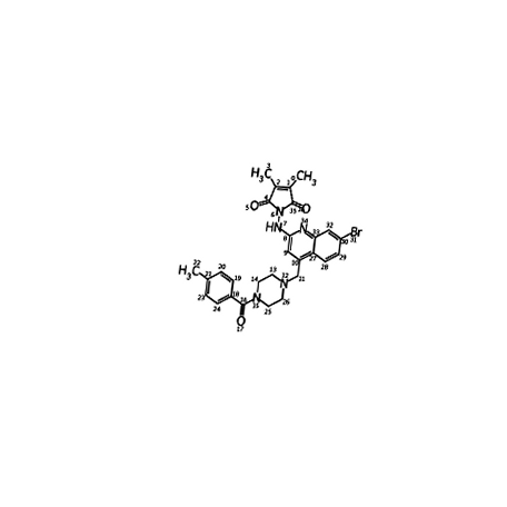 CC1=C(C)C(=O)N(Nc2cc(CN3CCN(C(=O)c4ccc(C)cc4)CC3)c3ccc(Br)cc3n2)C1=O